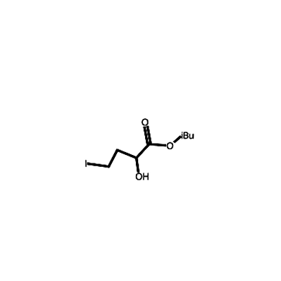 CCC(C)OC(=O)C(O)CCI